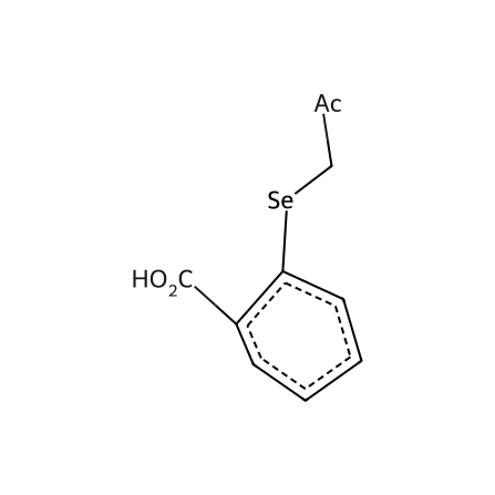 CC(=O)C[Se]c1ccccc1C(=O)O